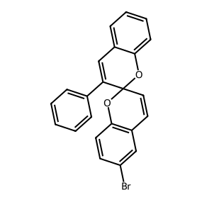 Brc1ccc2c(c1)C=CC1(Oc3ccccc3C=C1c1ccccc1)O2